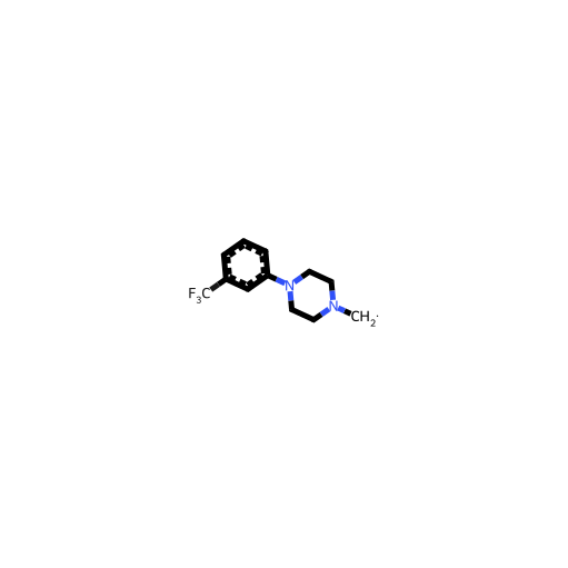 [CH2]N1CCN(c2cccc(C(F)(F)F)c2)CC1